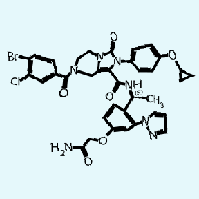 C[C@H](NC(=O)c1c2n(c(=O)n1-c1ccc(OC3CC3)cc1)CCN(C(=O)c1ccc(Br)c(Cl)c1)C2)c1ccc(OCC(N)=O)cc1-n1cccn1